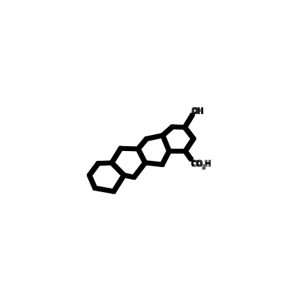 O=C(O)C1CC(O)CC2CC3CC4CCCCC4CC3CC21